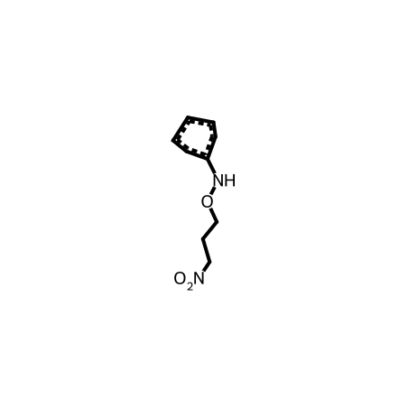 O=[N+]([O-])CCCONc1ccccc1